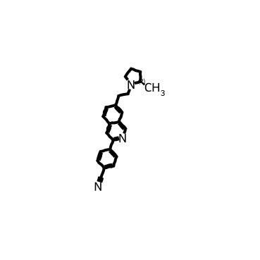 C[C@@H]1CCCN1CCc1ccc2cc(-c3ccc(C#N)cc3)ncc2c1